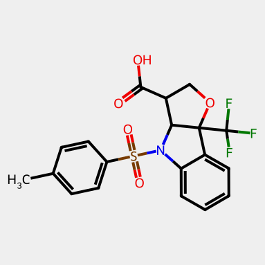 Cc1ccc(S(=O)(=O)N2c3ccccc3C3(C(F)(F)F)OCC(C(=O)O)C23)cc1